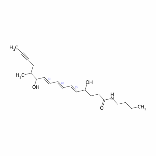 CC#CCC(C)C(O)/C=C/C=C/C=C/C(O)CCC(=O)NCCCC